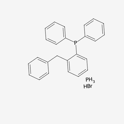 Br.P.c1ccc(Cc2ccccc2P(c2ccccc2)c2ccccc2)cc1